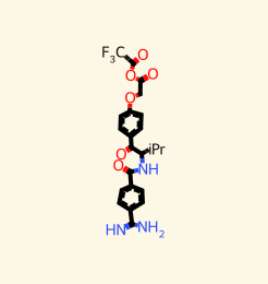 CC(C)C(NC(=O)c1ccc(C(=N)N)cc1)C(=O)c1ccc(OCC(=O)OC(=O)C(F)(F)F)cc1